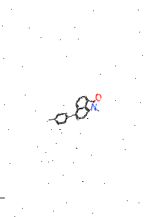 Cc1ccc(-c2ccc3c4c(cccc24)C(=O)N3C)cc1